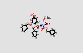 CC(C)(C)OC(=O)N(C(=O)OCc1ccccc1)[C@@H](Cc1cc(O)cc(OCc2ccccc2)c1)C(=O)OCc1ccccc1